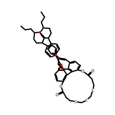 CCCC1CCC(c2ccc(-c3ccc4c5c(ccc4c3)OC(=O)CCCCCCCCCC(=O)Oc3ccc4cc(-c6ccc(C7CCC(CCC)CC7)cc6)ccc4c3-5)cc2)CC1